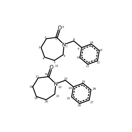 O=C1CCCCCN1Cc1ccccc1.O=C1CCCCCN1Cc1ccccc1